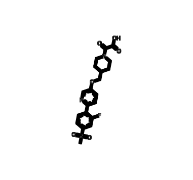 CS(=O)(=O)c1ccc(-c2ccc(OCC3CCN(C(=O)C(=O)O)CC3)cn2)c(F)c1